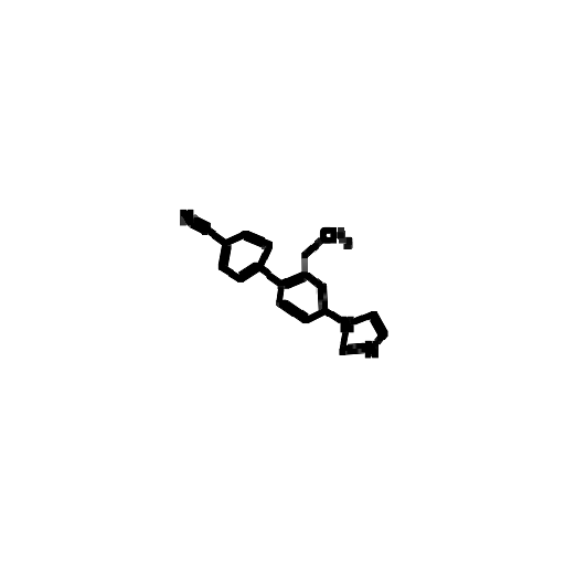 CCc1cc(-n2ccnc2)ccc1-c1ccc(C#N)cc1